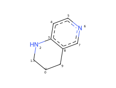 [C]1[C]Nc2ccncc2C1